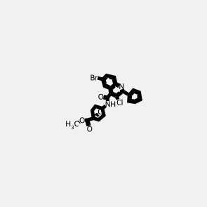 COC(=O)C12CCC(NC(=O)c3c(Cl)c(-c4ccccc4)nc4ccc(Br)cc34)(CC1)CC2